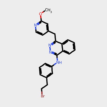 COc1cc(Cc2nnc(Nc3cccc(CCBr)c3)c3ccccc23)ccn1